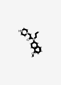 CCCN(C(=O)CN1CCNCC1)C1CCc2c(cccc2OC)C1